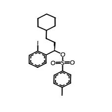 Cc1ccc(S(=O)(=O)O[C@H](CCC2CCCCC2)c2ccccc2I)cc1